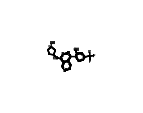 Oc1cc(C(F)(F)F)ccc1-c1nnc(NC2CC[C@H](O)C2)c2cnccc12